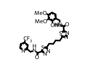 COc1ccc(CNC(=O)c2nnc(CCCCc3nnc(C(=O)NCc4cc(C(F)(F)F)ccn4)s3)s2)c(OC)c1OC